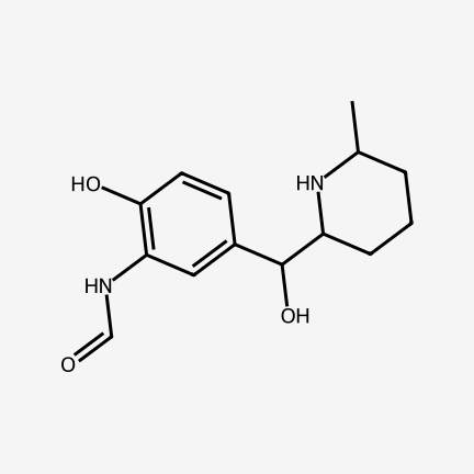 CC1CCCC(C(O)c2ccc(O)c(NC=O)c2)N1